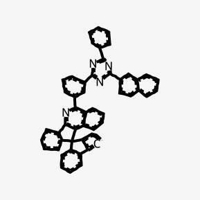 c1ccc(-c2nc(-c3cccc(-c4nc5c(c6ccccc46)C4(c6ccccc6-c6ccccc64)c4ccccc4-5)c3)nc(-c3ccc4ccccc4c3)n2)cc1